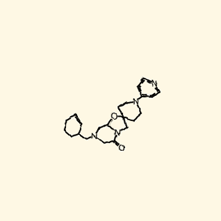 O=C1CN(CC2C=CCCC2)CC2OC3(CCN(c4ccncc4)CC3)CN12